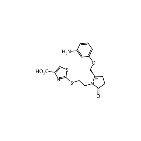 Nc1cccc(OC[C@H]2CCC(=O)N2CCSc2nc(C(=O)O)cs2)c1